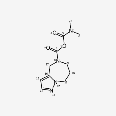 CN(C)C(=O)OC(=O)N1CCCn2nccc2C1